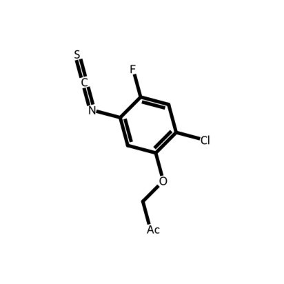 CC(=O)COc1cc(N=C=S)c(F)cc1Cl